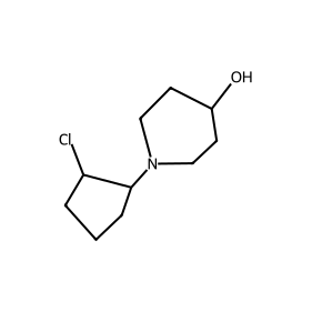 OC1CCN(C2CCCC2Cl)CC1